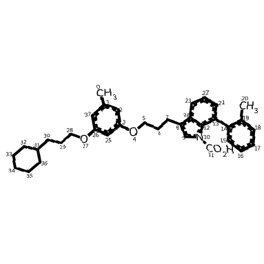 Cc1cc(OCCCc2cn(C(=O)O)c3c(-c4ccccc4C)cccc23)cc(OCCCC2CCCCC2)c1